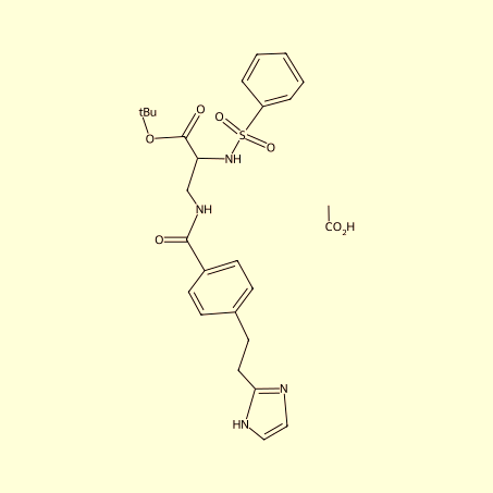 CC(=O)O.CC(C)(C)OC(=O)C(CNC(=O)c1ccc(CCc2ncc[nH]2)cc1)NS(=O)(=O)c1ccccc1